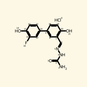 Cl.NC(=O)NN=Cc1cc(-c2ccc(O)c(F)c2)ccc1O